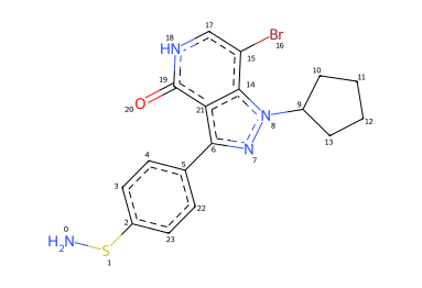 NSc1ccc(-c2nn(C3CCCC3)c3c(Br)c[nH]c(=O)c23)cc1